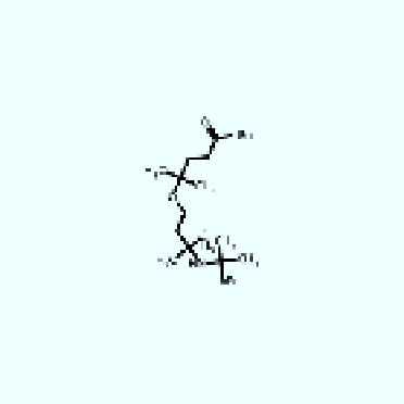 CCCC(C)(C)NC(C)(C)CCOC(C)(C)CCC(=O)C(C)(C)C